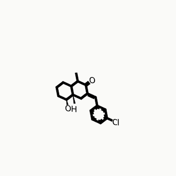 CC1C(=O)/C(=C/c2cccc(Cl)c2)C[C@@]2(C)C1CCC[C@@H]2O